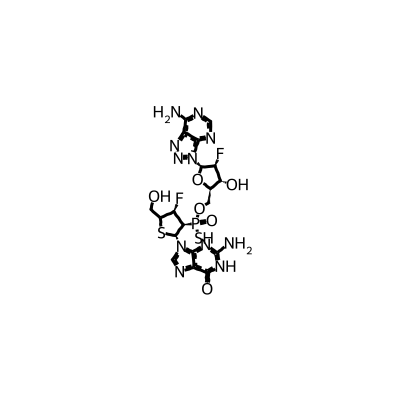 Nc1nc2c(ncn2[C@@H]2SC(CO)[C@@H](F)[C@H]2P(=O)(S)OC[C@H]2O[C@@H](n3nnc4c(N)ncnc43)[C@@H](F)[C@@H]2O)c(=O)[nH]1